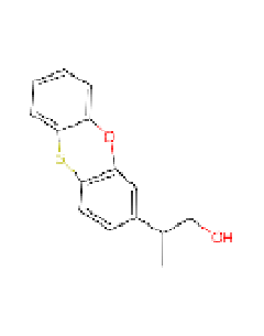 CC(CO)c1ccc2c(c1)Oc1ccccc1S2